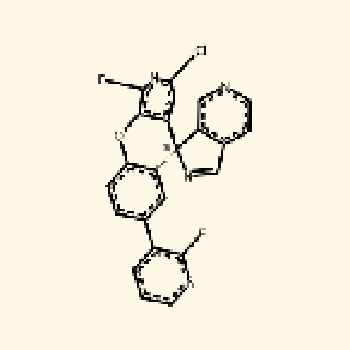 Fc1ncccc1-c1ccc2c(c1)[C@]1(N=Cc3ccncc31)c1cc(Cl)nc(F)c1O2